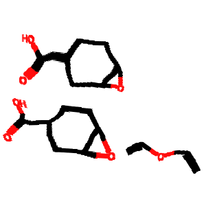 C=COC=C.O=C(O)C1CCC2OC2C1.O=C(O)C1CCC2OC2C1